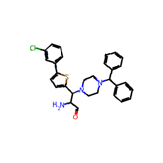 NC(C=O)C(c1ccc(-c2cccc(Cl)c2)s1)N1CCN(C(c2ccccc2)c2ccccc2)CC1